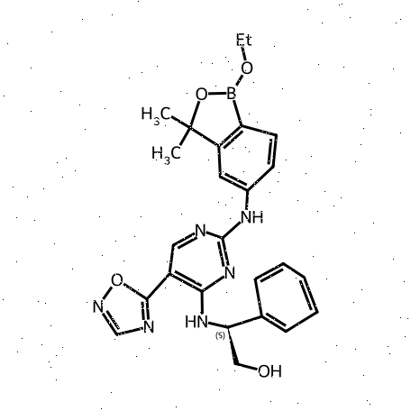 CCOB1OC(C)(C)c2cc(Nc3ncc(-c4ncno4)c(N[C@H](CO)c4ccccc4)n3)ccc21